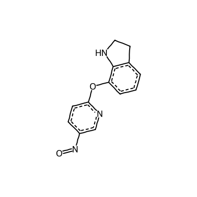 O=Nc1ccc(Oc2cccc3c2NCC3)nc1